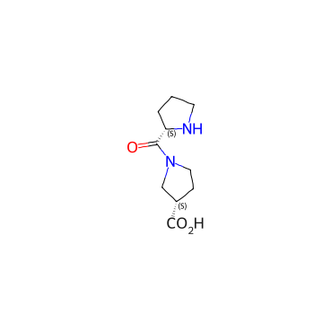 O=C(O)[C@H]1CCN(C(=O)[C@@H]2CCCN2)C1